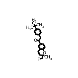 CC1(CF)C=Cc2cc(C(=O)Cc3ccc(C(C)(C)C)cc3)ccc2O1